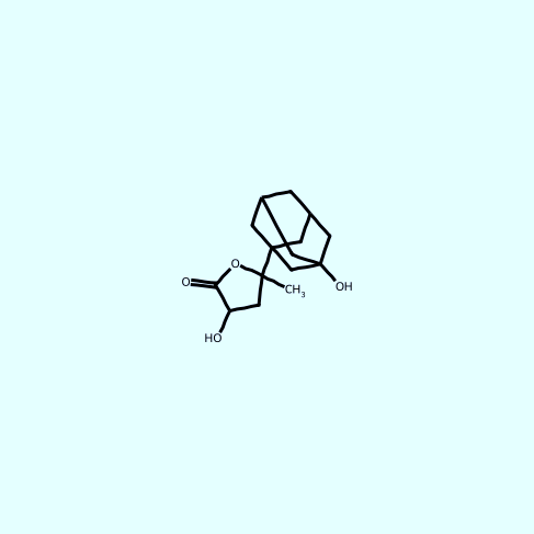 CC1(C23CC4CC(CC(O)(C4)C2)C3)CC(O)C(=O)O1